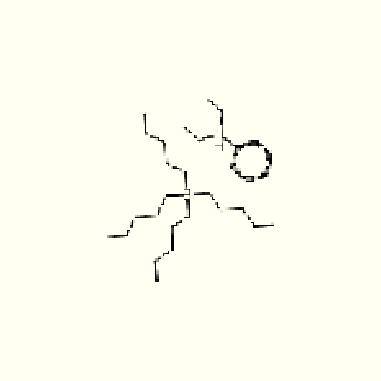 CCCCC[B-](CCCCC)(CCCCC)CCCCC.CC[NH+](CC)c1ccccc1